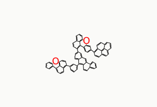 c1cc(-c2ccc3c4c(cccc24)-c2ccccc2O3)cc(-c2c3ccc(-c4ccc5cccc6c5c4-c4ccc(-c5ccc7ccc8cccc9ccc5c7c89)cc4O6)cc3cc3c2ccc2ccccc23)c1